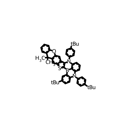 CC(C)(C)c1ccc(N2c3ccc(C(C)(C)C)cc3B3c4sc5cc6c(cc5c4N(c4ccc(C(C)(C)C)cc4)c4cccc2c43)Oc2ccccc2C6(C)C)cc1